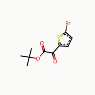 CC(C)(C)OC(=O)C(=O)c1ccc(Br)s1